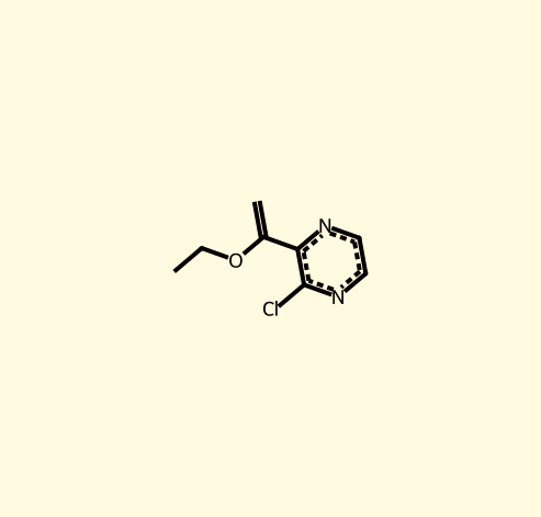 C=C(OCC)c1nccnc1Cl